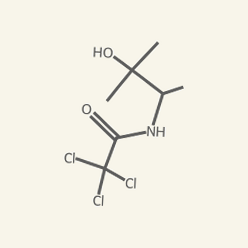 CC(NC(=O)C(Cl)(Cl)Cl)C(C)(C)O